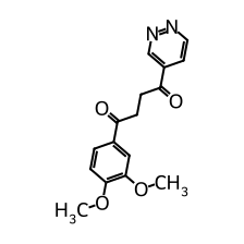 COc1ccc(C(=O)CCC(=O)c2ccnnc2)cc1OC